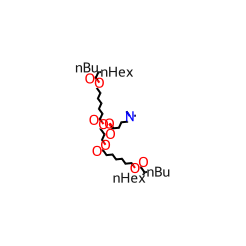 CCCCCCC(CCCC)C(=O)OCCCCCCC(=O)OCC(COC(=O)CCCCCCOC(=O)C(CCCC)CCCCCC)OC(=O)CCCN(C)C